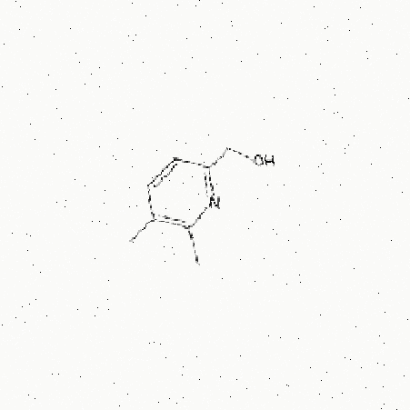 Cc1ccc(CO)nc1C